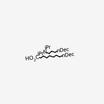 CCCCCCCCCCCCCCCCCC(=O)O.CCCCCCCCCCCCCN(C(C)C)C(C)C